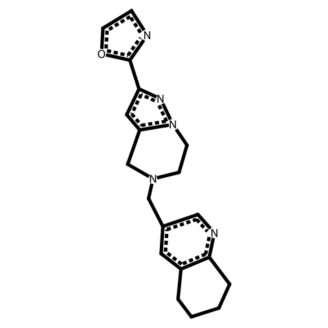 c1coc(-c2cc3n(n2)CCN(Cc2cnc4c(c2)CCCC4)C3)n1